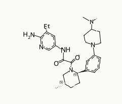 CCc1cc(NC(=O)C(=O)N2C[C@@H](C)CC[C@@H]2c2cccc(N3CCC(N(C)C)CC3)c2)cnc1N